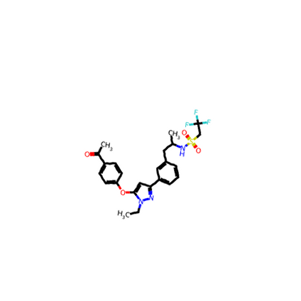 CCn1nc(-c2cccc(CC(C)NS(=O)(=O)CC(F)(F)F)c2)cc1Oc1ccc(C(C)=O)cc1